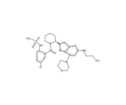 CCCNc1cc(N2CCOCC2)n2nc([C@@H]3CCCCN3C(=O)c3cc(Cl)ccc3NS(C)(=O)=O)cc2n1